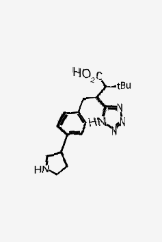 CC(C)(C)[C@H](C(=O)O)[C@H](Cc1ccc(C2CCNC2)cc1)c1nnn[nH]1